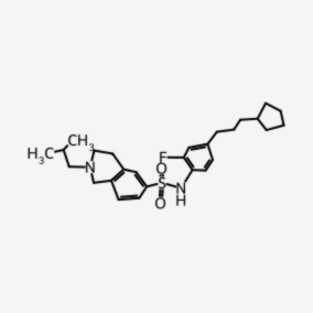 CC(C)CN1CCc2cc(S(=O)(=O)Nc3ccc(CCCC4CCCC4)cc3F)ccc2C1